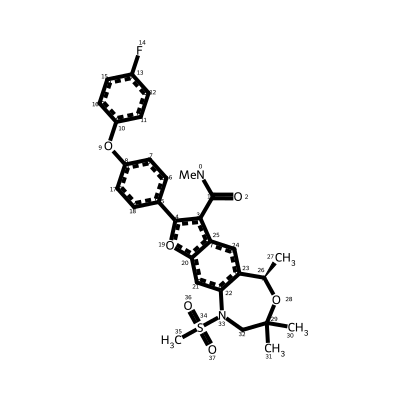 CNC(=O)c1c(-c2ccc(Oc3ccc(F)cc3)cc2)oc2cc3c(cc12)[C@@H](C)OC(C)(C)CN3S(C)(=O)=O